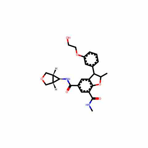 CNC(=O)c1cc(C(=O)N[C@H]2[C@@H]3COC[C@@H]32)cc2c1OC(C)C2c1cccc(OCCO)c1